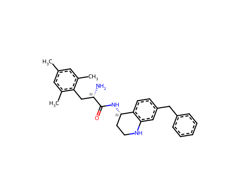 Cc1cc(C)c(C[C@H](N)C(=O)N[C@H]2CCNc3cc(Cc4ccccc4)ccc32)c(C)c1